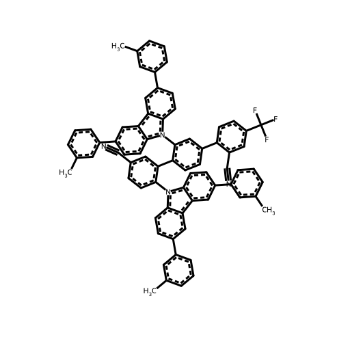 Cc1cccc(-c2ccc3c(c2)c2cc(-c4cccc(C)c4)ccc2n3-c2ccc(C#N)cc2-c2ccc(-c3ccc(C(F)(F)F)cc3C#N)cc2-n2c3ccc(-c4cccc(C)c4)cc3c3cc(-c4cccc(C)c4)ccc32)c1